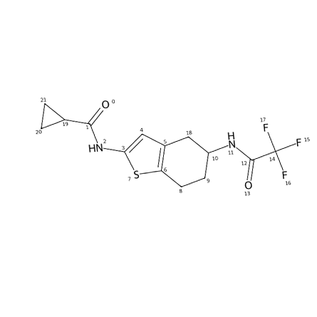 O=C(Nc1cc2c(s1)CCC(NC(=O)C(F)(F)F)C2)C1CC1